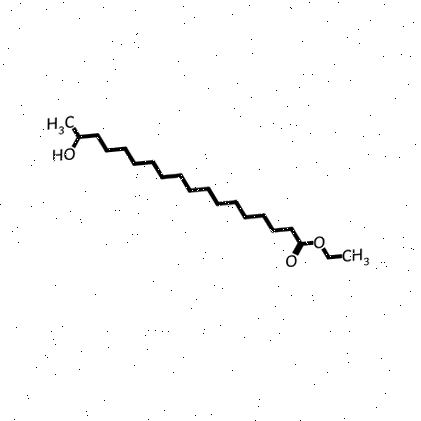 CCOC(=O)CCCCCCCCCCCCCCCC(C)O